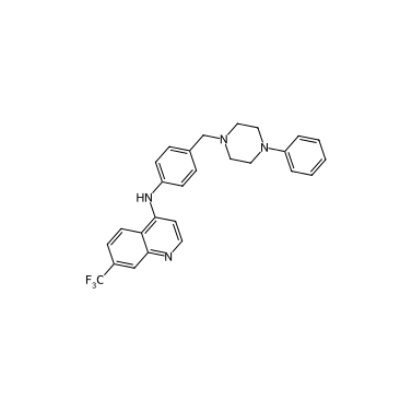 FC(F)(F)c1ccc2c(Nc3ccc(CN4CCN(c5ccccc5)CC4)cc3)ccnc2c1